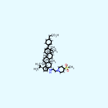 C=C(C)[C@@H]1CC[C@]2(NCCN3CCC(S(C)(=O)=O)CC3)CC[C@]3(C)[C@H](CC[C@@H]4[C@@]5(C)CC=C(C6=CCC(CC(=O)O)CC6)C(C)(C)[C@@H]5CC[C@]43C)[C@@H]12